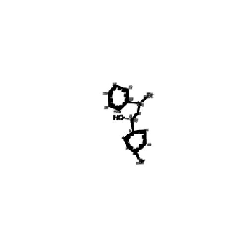 CCN(C[C@@H](O)c1ccc(Br)cc1)c1ccccc1